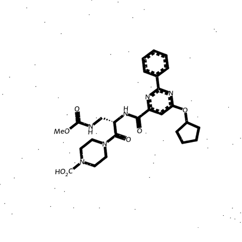 COC(=O)NC[C@H](NC(=O)c1cc(OC2CCCC2)nc(-c2ccccc2)n1)C(=O)N1CCN(C(=O)O)CC1